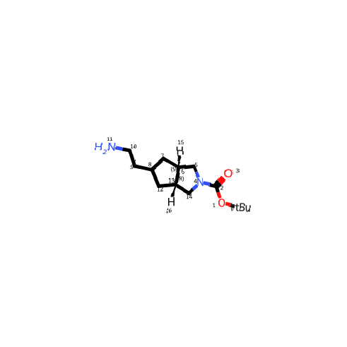 CC(C)(C)OC(=O)N1C[C@H]2CC(CCN)C[C@H]2C1